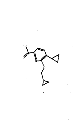 O=C(O)c1cnc(C2CC2)c(OCC2CC2)n1